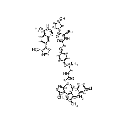 Cc1ncsc1-c1ccc([C@H](C)NC(=O)[C@@H]2C[C@@H](O)CN2C(=O)C(NC(=O)COc2ccc(O[C@H](C)CNC(=O)C[C@@H]3N=C(c4ccc(Cl)cc4)c4c(sc(C)c4C)-n4c(C)nnc43)cc2)C(C)(C)C)cc1